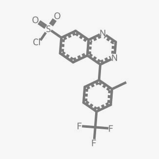 Cc1cc(C(F)(F)F)ccc1-c1ncnc2cc(S(=O)(=O)Cl)ccc12